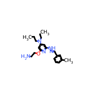 CCCN(CCC)c1cc(N/N=C/c2cccc(C)c2)nc(OCCN)c1